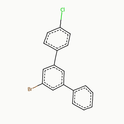 Clc1ccc(-c2cc(Br)cc(-c3ccccc3)c2)cc1